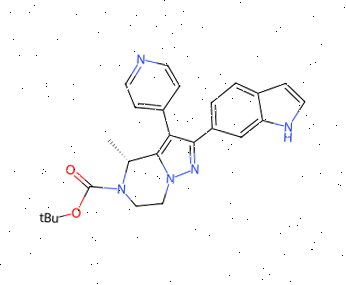 C[C@@H]1c2c(-c3ccncc3)c(-c3ccc4cc[nH]c4c3)nn2CCN1C(=O)OC(C)(C)C